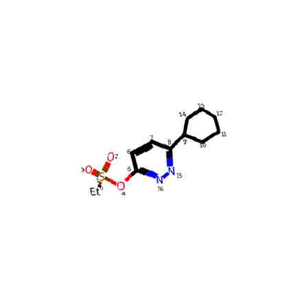 CCS(=O)(=O)Oc1ccc(C2CCCCC2)nn1